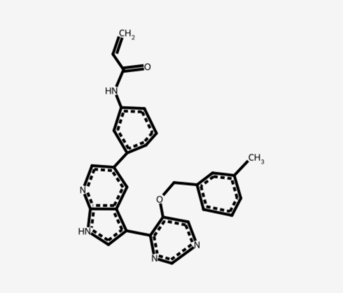 C=CC(=O)Nc1cccc(-c2cnc3[nH]cc(-c4ncncc4OCc4cccc(C)c4)c3c2)c1